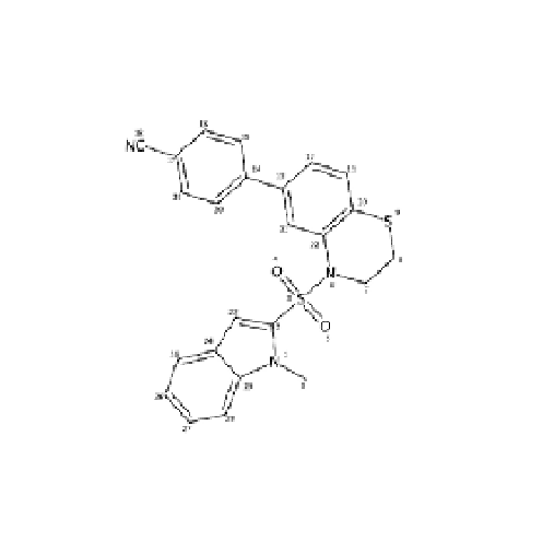 Cn1c(S(=O)(=O)N2CCSc3ccc(-c4ccc(C#N)cc4)cc32)cc2ccccc21